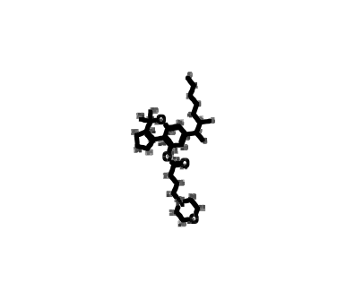 CCCCCC(C)C(C)c1cc(OC(=O)CCCN2CCOCC2)c2c(c1)OC(C)(C)C1=C2CCC1